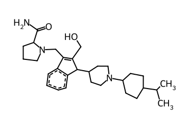 CC(C)C1CCC(N2CCC(C3C(CO)=C(CN4CCCC4C(N)=O)c4ccccc43)CC2)CC1